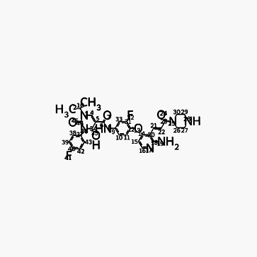 CC(C)N1C=C(C(=O)Nc2ccc(Oc3ccnc(N)c3/C=C/C(=O)N3CCNCC3)c(F)c2)C(O)N(c2ccc(F)cc2)C1=O